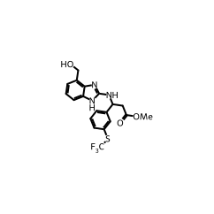 COC(=O)CC(Nc1nc2c(CO)cccc2[nH]1)c1cccc(SC(F)(F)F)c1